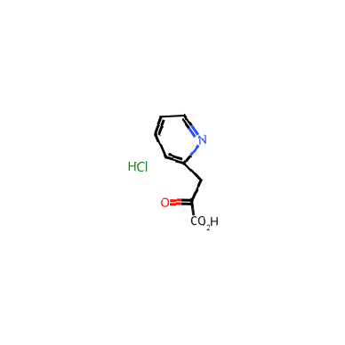 Cl.O=C(O)C(=O)Cc1ccccn1